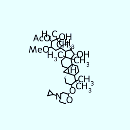 COC(C[C@@H](C)C1C[C@H](O)C2(C)[C@@H]3CCC4C(C)(C)[C@@H](OC5CN(C6CC6)CCO5)CC[C@@]45CC35CC[C@]12C)[C@H](OC(C)=O)C(C)(C)O